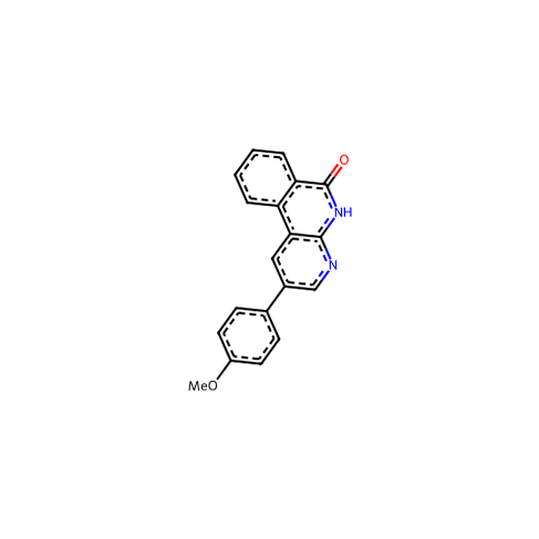 COc1ccc(-c2cnc3[nH]c(=O)c4ccccc4c3c2)cc1